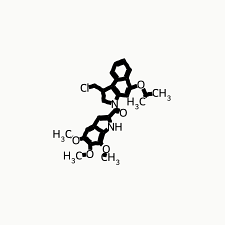 COc1cc2cc(C(=O)N3CC(CCl)c4c3cc(OC(C)C)c3ccccc43)[nH]c2c(OC)c1OC